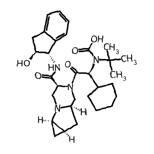 CC(C)(C)N(C(=O)O)[C@H](C(=O)N1C[C@H]2C[C@H]3C[C@H]3N2C[C@H]1C(=O)N[C@H]1c2ccccc2C[C@@H]1O)C1CCCCC1